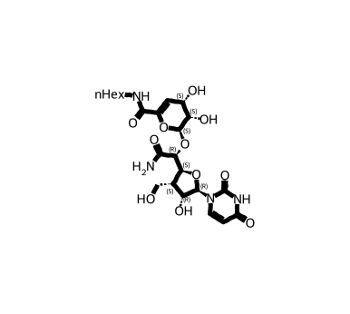 CCCCCCNC(=O)C1=C[C@H](O)[C@H](O)[C@@H](O[C@@H](C(N)=O)[C@H]2O[C@@H](n3ccc(=O)[nH]c3=O)[C@H](O)[C@@H]2CO)O1